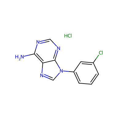 Cl.Nc1ncnc2c1ncn2-c1cccc(Cl)c1